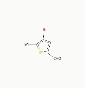 CCCc1sc(C=O)cc1Br